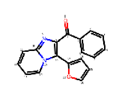 O=C(c1ccccc1)c1nc2ccccn2c1-c1ccco1